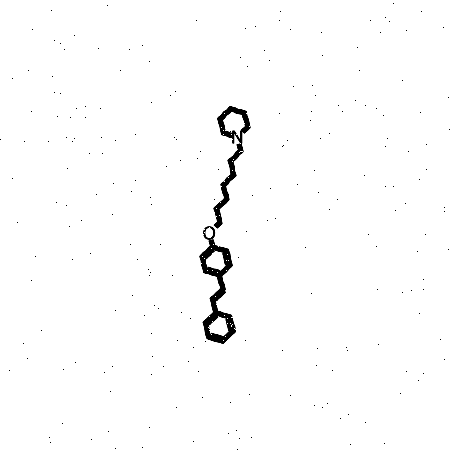 C(=Cc1ccc(OCCCCCCCN2CCCCC2)cc1)c1ccccc1